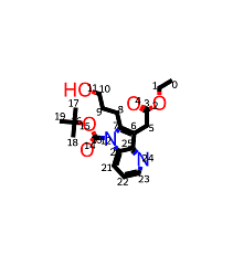 CCOC(=O)Cc1c(CCCO)n(C(=O)OC(C)(C)C)c2cccnc12